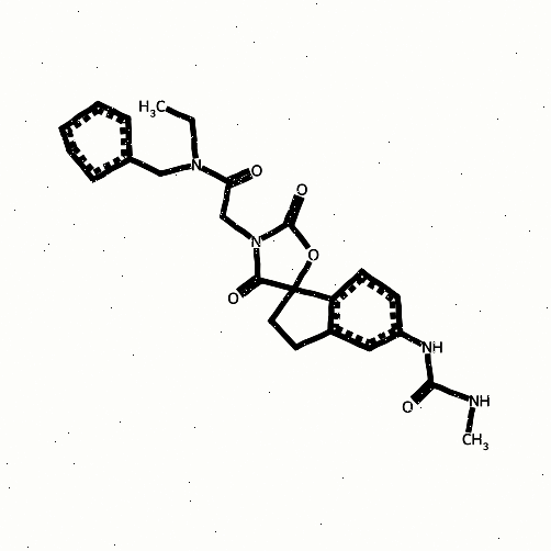 CCN(Cc1ccccc1)C(=O)CN1C(=O)OC2(CCc3cc(NC(=O)NC)ccc32)C1=O